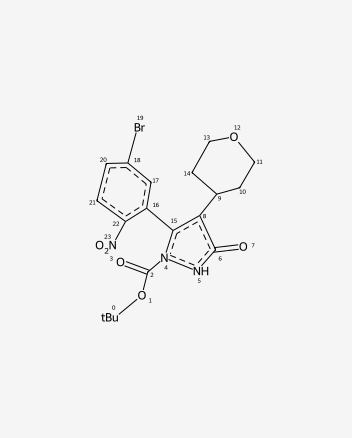 CC(C)(C)OC(=O)n1[nH]c(=O)c(C2CCOCC2)c1-c1cc(Br)ccc1[N+](=O)[O-]